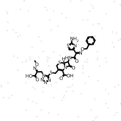 CO/N=C(\Cn1nnnc1SCC1=C(C(=O)O)N2C(=O)C(NC(=O)/C(=N/OCc3ccccc3)c3csc(N)n3)[C@H]2SC1)C(=O)O